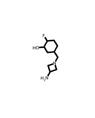 NC1CN(CC2CCC(F)C(O)C2)C1